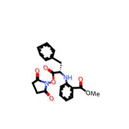 COC(=O)c1ccccc1N[C@@H](Cc1ccccc1)C(=O)ON1C(=O)CCC1=O